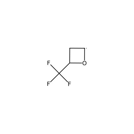 FC(F)(F)C1C[CH]O1